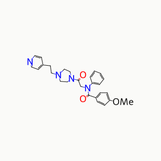 COc1ccc(C(=O)N(CC(=O)N2CCN(CCc3ccncc3)CC2)c2ccccc2)cc1